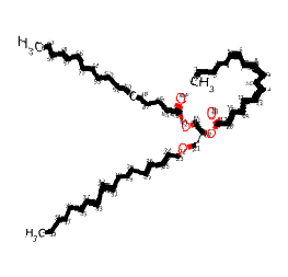 CCCCC/C=C\C/C=C\C/C=C\CCCCC(=O)O[C@H](COCCCCCCCCCCCCCCCCCC)COC(=O)CCCCCCCCCCCCCCCCC